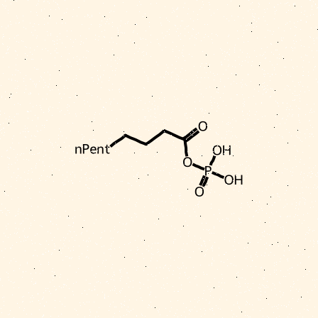 CCCCCCCCC(=O)OP(=O)(O)O